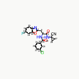 N#CC1(NC(=O)C(Cc2nc3ccc(F)cc3o2)NC(=O)c2cccc(Cl)c2)CC1